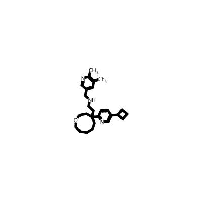 Cc1ncc(CNCCC2(c3ccc(C4CCC4)cn3)CCCCCOCC2)cc1C(F)(F)F